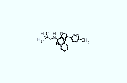 Cc1ccc(-c2cnc3c(NCC(C)C)nc4ccccc4n23)cn1